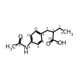 CCC(Cc1ccc(NC(C)=O)cc1)C(=O)O